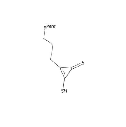 CCCCCCCCc1c(S)c1=S